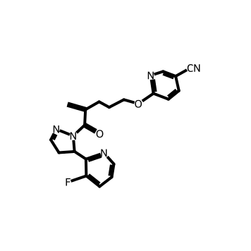 C=C(CCCOc1ccc(C#N)cn1)C(=O)N1N=CCC1c1ncccc1F